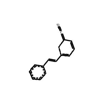 O=C=C1C=CC=C(C=Cc2ccccc2)C1